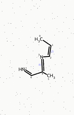 C/C=C\N=C(/C)C=N